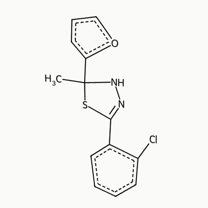 CC1(c2ccco2)NN=C(c2ccccc2Cl)S1